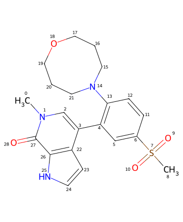 Cn1cc(-c2cc(S(C)(=O)=O)ccc2N2CCCOCCC2)c2cc[nH]c2c1=O